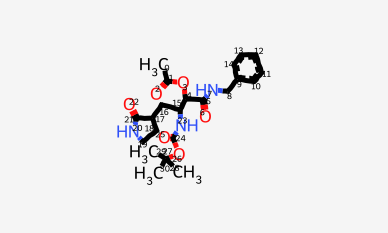 CC(=O)OC(C(=O)NCc1ccccc1)C(CC1CCNC1=O)NC(=O)OC(C)(C)C